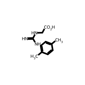 Cc1ccc(C)cc1.N=C(N)NCC(=O)O